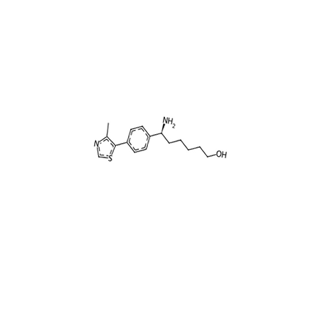 Cc1ncsc1-c1ccc([C@@H](N)CCCCCO)cc1